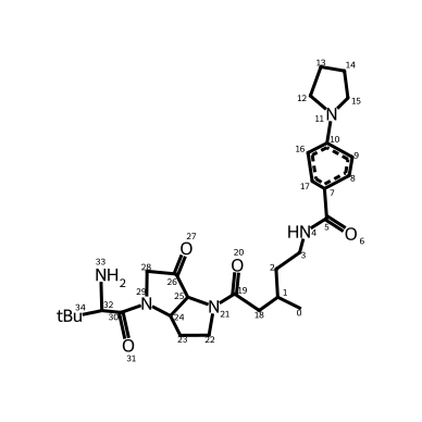 CC(CCNC(=O)c1ccc(N2CCCC2)cc1)CC(=O)N1CCC2C1C(=O)CN2C(=O)C(N)C(C)(C)C